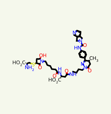 CC1CC(=O)N(CCCCNC(=O)C[C@H](NC(=O)CCCCCN2C(=O)C(SC[C@H](N)C(=O)O)CC2O)C(=O)O)N=C1c1ccc(NC(=O)N2Cc3ccncc3C2)cc1